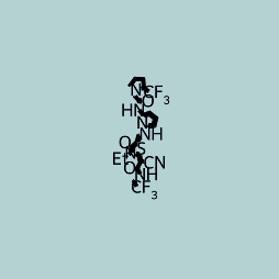 CCn1c(=C(C#N)C(=O)NCC(F)(F)F)sc(=CNc2cccc(NC(=O)CN3CCCC3C(F)(F)F)n2)c1=O